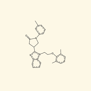 Cc1cccc(N2CC(c3nc4ccccc4n3CCOc3c(C)cccc3C)CC2=O)c1